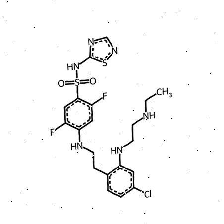 CCNCCNc1cc(Cl)ccc1CCNc1cc(F)c(S(=O)(=O)Nc2ncns2)cc1F